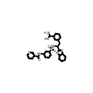 N=C(N)c1cccc(CC(NS(=O)(=O)c2cccc(NC(=O)c3cccnc3)c2)c2nc3ccccc3s2)c1